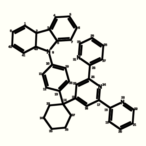 C1=CC2c3ccccc3N(c3ccc(C4(c5cc(-c6ccccn6)nc(-c6ccccn6)c5)CCCCC4)cc3)C2C=C1